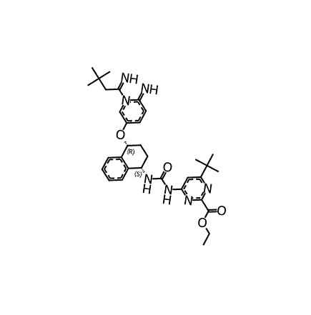 CCOC(=O)c1nc(NC(=O)N[C@H]2CC[C@@H](Oc3ccc(=N)n(C(=N)CC(C)(C)C)c3)c3ccccc32)cc(C(C)(C)C)n1